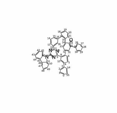 c1ccc(-c2cccc(-c3nc(-c4cccc(-c5cccc6oc7c(-c8ccccc8)cccc7c56)c4)nc(-n4c5ccccc5c5ccccc54)n3)c2)cc1